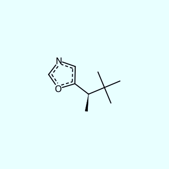 C[C@@H](c1cnco1)C(C)(C)C